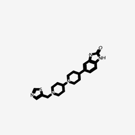 O=C1[N]c2cc(C3CCN(C4CCN(Cc5cncs5)CC4)CC3)ccc2N1